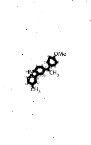 COc1ccc(C(C)c2ccc3[nH]c4ccc(C)cc4c3c2)cc1